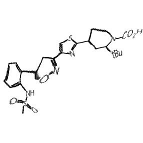 CC(C)(C)C1CC(c2nc(C3=NOC(c4ccccc4NS(C)(=O)=O)C3)cs2)CCN1C(=O)O